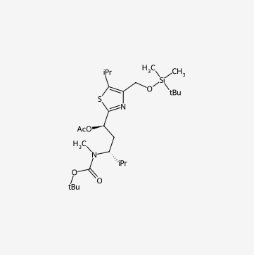 CC(=O)O[C@H](C[C@H](C(C)C)N(C)C(=O)OC(C)(C)C)c1nc(CO[Si](C)(C)C(C)(C)C)c(C(C)C)s1